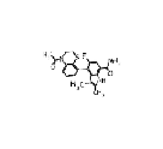 CC(=O)N1CCSc2c(-c3c(F)cc(C(N)=O)c4[nH]c(C)c(C)c34)cccc21